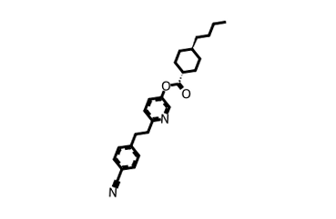 CCCC[C@H]1CC[C@H](C(=O)Oc2ccc(CCc3ccc(C#N)cc3)nc2)CC1